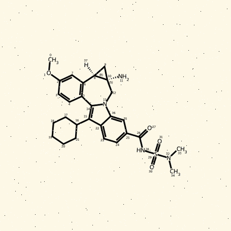 COc1ccc2c(c1)[C@H]1C[C@@]1(N)Cn1c-2c(C2CCCCC2)c2ccc(C(=O)NS(=O)(=O)N(C)C)cc21